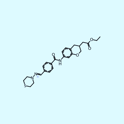 CCOC(=O)CC1COc2cc(NC(=O)c3ccc(/C=N/N4CCSCC4)cc3)ccc2C1